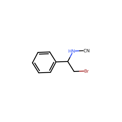 N#CNC(CBr)c1ccccc1